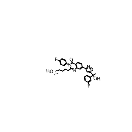 CC(O)(c1cccc(F)c1)c1cc(-c2ccc3c(=O)n(-c4ccc(F)cc4)c(CCCCC(=O)O)nc3c2)no1